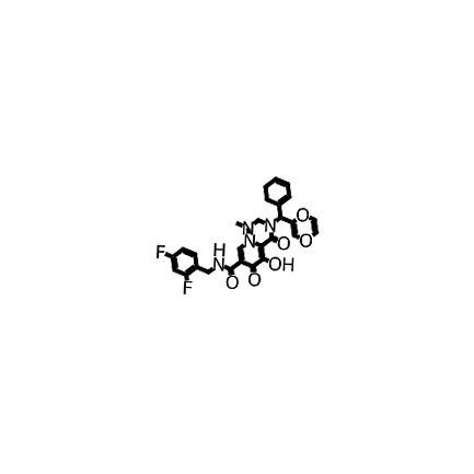 CN1CN(C(C2=CC=CCC2)C2=COC=CO2)C(=O)c2c(O)c(=O)c(C(=O)NCc3ccc(F)cc3F)cn21